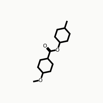 COC1CCC(C(=O)OC2CCC(C)CC2)CC1